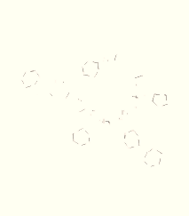 O=C1CCC(=O)N[C@H](Cc2cccs2)C(=O)N[C@@H](Cc2ccc(-c3ccccc3)cc2)C(=O)N[C@H](Cc2ccccc2)C(=O)NC(C(=O)N[C@@H](Cc2ccccc2)C(=O)O)c2ccc(cc2)N1